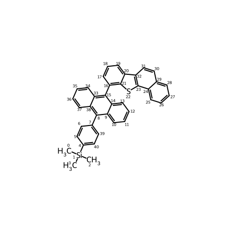 C[Si](C)(C)c1ccc(-c2c3ccccc3c(-c3cccc4c3sc3c5ccccc5ccc43)c3ccccc23)cc1